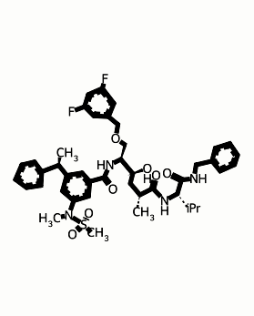 CC(C)[C@H](NC(=O)[C@H](C)C[C@H](O)[C@H](COCc1cc(F)cc(F)c1)NC(=O)c1cc([C@H](C)c2ccccc2)cc(N(C)S(C)(=O)=O)c1)C(=O)NCc1ccccc1